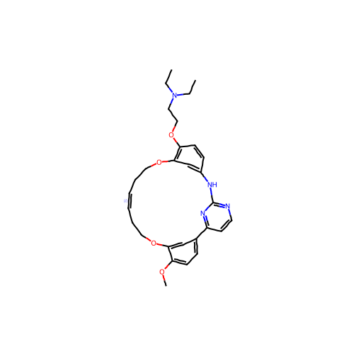 CCN(CC)CCOc1ccc2cc1OCC/C=C\CCOc1cc(ccc1OC)-c1ccnc(n1)N2